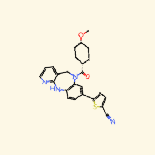 CO[C@H]1CC[C@H](C(=O)N2Cc3cccnc3Nc3ccc(-c4ccc(C#N)s4)cc32)CC1